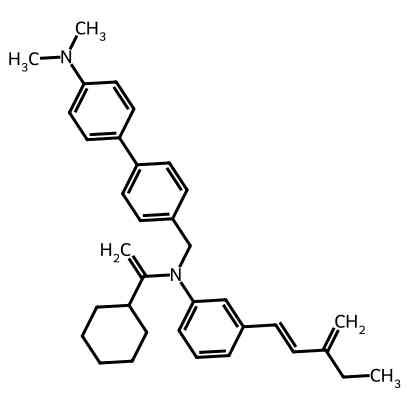 C=C(/C=C/c1cccc(N(Cc2ccc(-c3ccc(N(C)C)cc3)cc2)C(=C)C2CCCCC2)c1)CC